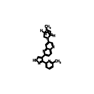 Cc1cccc(-c2n[nH]cc2-c2ccc3ncc(N4C[C@H]5C[C@@H]4CN5C)cc3n2)n1